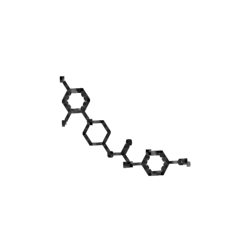 Cc1ccc(NC(=O)OC2CCN(c3ccc(F)cc3F)CC2)nc1